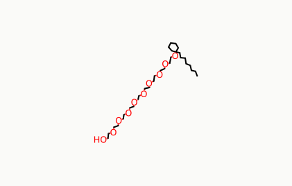 CCCCCCCCC1(OCCOCCOCCOCCOCCOCCOCCOCCOCCO)CCCCC1